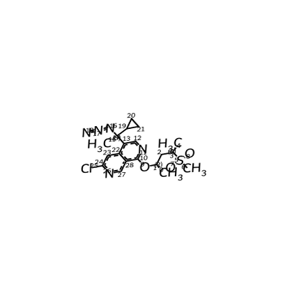 C[C@H](C[C@@H](C)S(C)(=O)=O)Oc1ncc([C@@](C)(N=[N+]=[N-])C2CC2)c2cc(Cl)ncc12